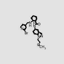 COCCn1ncc2cc(NC(=O)c3ccccc3NCc3ccnc(Br)c3)ccc21